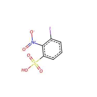 O=[N+]([O-])c1c(I)cccc1S(=O)(=O)O